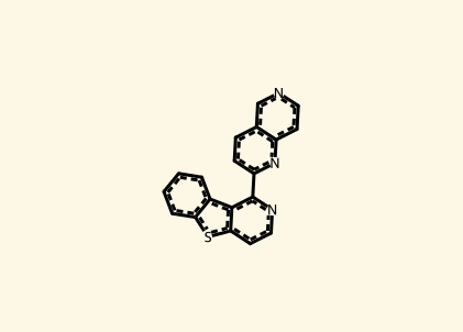 c1ccc2c(c1)sc1ccnc(-c3ccc4cnccc4n3)c12